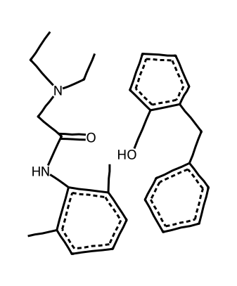 CCN(CC)CC(=O)Nc1c(C)cccc1C.Oc1ccccc1Cc1ccccc1